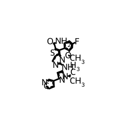 COc1cc(F)ccc1-c1c(C(N)=O)sc2cnc(Nc3cc(-c4cccnc4)nn3C(C)C)nc12